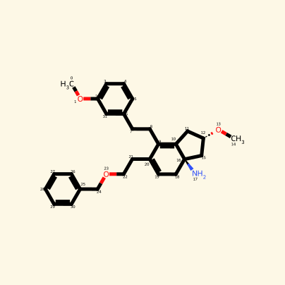 COc1cccc(CCC2=C3C[C@H](OC)C[C@]3(N)CC=C2CCOCc2ccccc2)c1